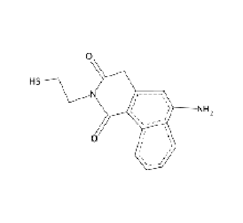 Nc1cc2c(c3ccccc13)C(=O)N(CCS)C(=O)C2